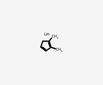 CC1=C(C)CC=C1.[LiH]